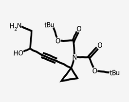 CC(C)(C)OC(=O)N(C(=O)OC(C)(C)C)C1(C#CC(O)CN)CC1